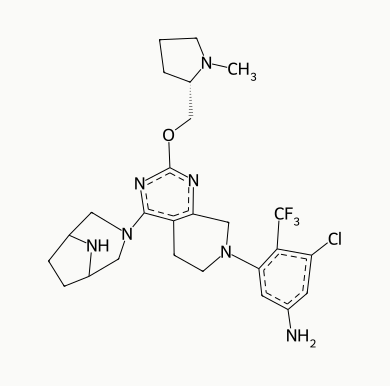 CN1CCC[C@H]1COc1nc2c(c(N3CC4CCC(C3)N4)n1)CCN(c1cc(N)cc(Cl)c1C(F)(F)F)C2